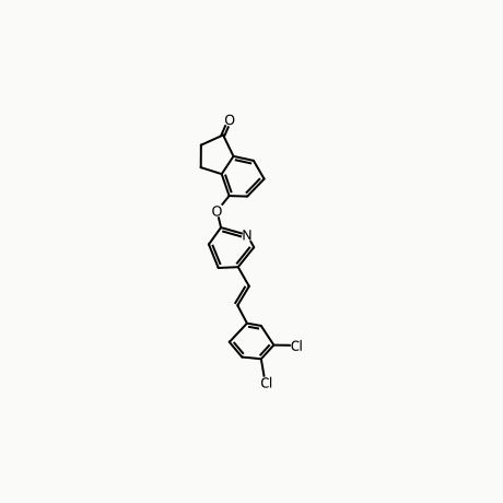 O=C1CCc2c(Oc3ccc(/C=C/c4ccc(Cl)c(Cl)c4)cn3)cccc21